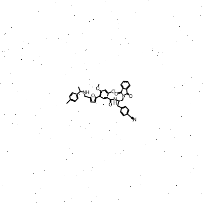 COc1cc(Cl)c(C(=O)NC(Cc2ccc(C#N)cc2)CN2C(=O)c3ccccc3C2=O)cc1-c1ccc(CNC(C)c2ccc(C)cc2)o1